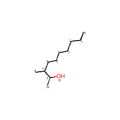 CCCCCCCC(C)[C](C)O